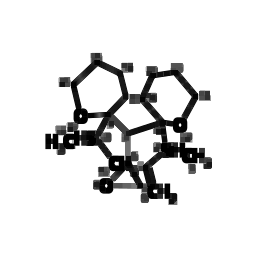 C=C[SiH](C)C1(C(C2CO2)C2([SiH](C)C)CCCCO2)CCCCO1